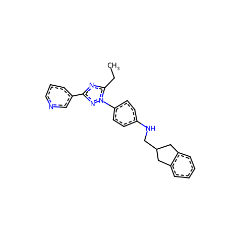 CCc1nc(-c2cccnc2)nn1-c1ccc(NCC2Cc3ccccc3C2)cc1